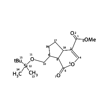 COC(=O)C1=COC(=O)C2C(CO[Si](C)(C)C(C)(C)C)CCC12